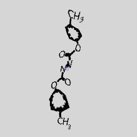 Cc1ccc(OC(=O)/N=N/C(=O)Oc2ccc(C)cc2)cc1